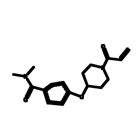 C=CC(=O)N1CCC(Oc2ccc(C(=O)N(C)C)cc2)CC1